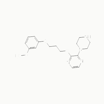 COc1cccc(OCCCOc2nccnc2N2CCNCC2)c1